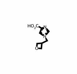 O=C(O)c1cn(CC2COC2)cn1